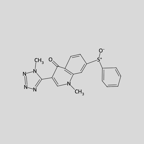 Cn1nnnc1-c1cn(C)c2cc([S+]([O-])c3ccccc3)ccc2c1=O